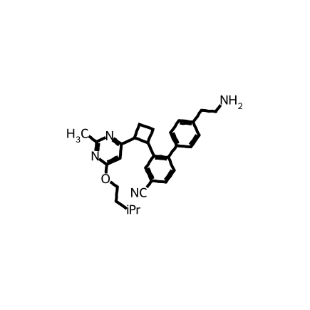 Cc1nc(OCCC(C)C)cc(C2CCC2c2cc(C#N)ccc2-c2ccc(CCN)cc2)n1